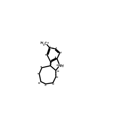 Cc1ccc2c(c1)C1CCCCCCC1N2